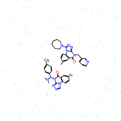 CN(C)C(c1ccc(C#N)cc1)n1c(=O)c2cc(Br)ccc2n2cnnc12.Cc1ccc2c(c1)c(=O)n(Cc1cccnc1)c1nnc(N3CCCCCC3)n21